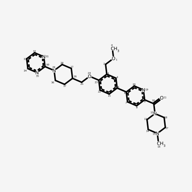 COCc1cc(-c2ccc(C(=O)N3CCN(C)CC3)nc2)ccc1OCC1CCN(c2ncccn2)CC1